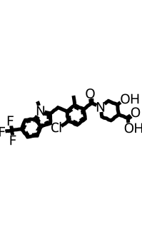 Cc1c(C(=O)N2CCC(C(=O)O)C(O)C2)ccc(Cl)c1Cc1cc2ccc(C(F)(F)F)cc2n1C